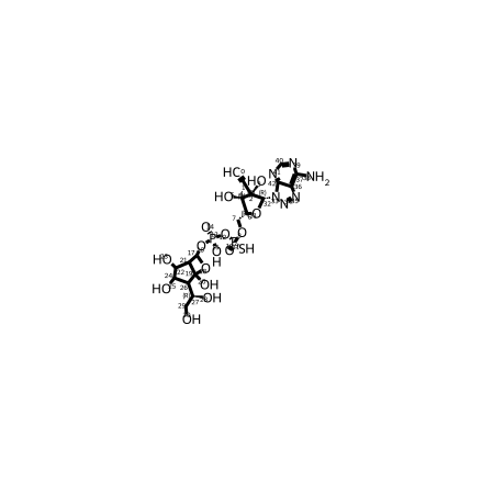 C#C[C@@]1(O)[C@H](O)[C@@H](COP(=O)(S)OP(=O)(O)OC2OC3(O)C2C(O)C(O)C3[C@@H](O)CO)O[C@H]1n1nnc2c(N)ncnc21